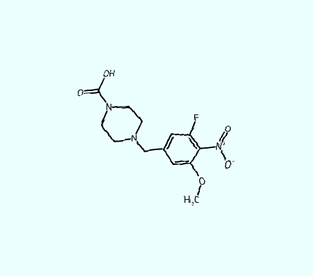 COc1cc(CN2CCN(C(=O)O)CC2)cc(F)c1[N+](=O)[O-]